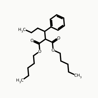 CCCCCOC(=O)C(C(=O)OCCCCC)C(CCC)c1ccccc1